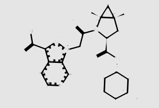 CC[C@@H]1CCC[C@H](NC(=O)[C@@H]2C[C@H]3C[C@H]3N2C(=O)Cn2nc(C(N)=O)c3ccncc32)C1